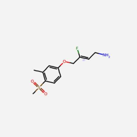 Cc1cc(OC/C(F)=C/CN)ccc1S(C)(=O)=O